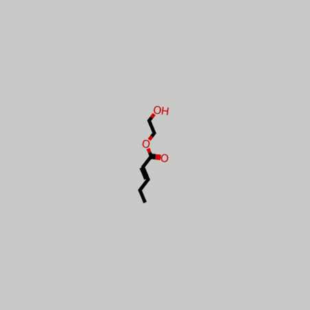 CCC=CC(=O)OCCO